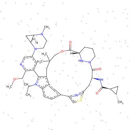 CCn1c(-c2cc(N3CCN(C)[C@@H]4C[C@@H]43)cnc2[C@H](C)OC)c2c3cc(ccc31)-c1csc(n1)C[C@H](NC(=O)[C@H]1C[C@@H]1C)C(=O)N1CCC[C@H](N1)C(=O)OCC(C)(C)C2